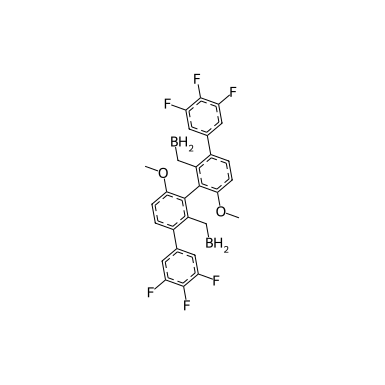 BCc1c(-c2cc(F)c(F)c(F)c2)ccc(OC)c1-c1c(OC)ccc(-c2cc(F)c(F)c(F)c2)c1CB